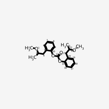 COC(C)Cc1ccccc1OC(=O)Oc1ccccc1CC(C)OC